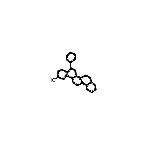 Oc1ccc2c(-c3ccccc3)cc3c(ccc4c5ccccc5ccc43)c2c1